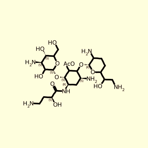 CC(=O)OC1C(O[C@H]2OC(C(O)CN)CCC2N)[C@@H](N)C[C@@H](NC(=O)[C@@H](O)CCN)[C@@H]1O[C@H]1OC(CO)[C@@H](O)[C@H](N)C1O